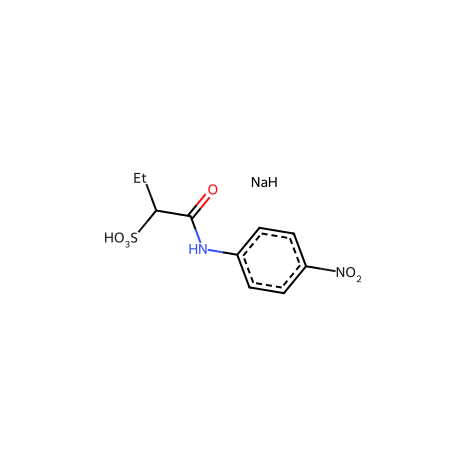 CCC(C(=O)Nc1ccc([N+](=O)[O-])cc1)S(=O)(=O)O.[NaH]